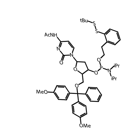 COc1ccc(C(OCC2OC(n3ccc(NC(C)=O)nc3=O)CC2OP(OCCc2ccccc2SSC(C)(C)C)N(C(C)C)C(C)C)(c2ccccc2)c2ccc(OC)cc2)cc1